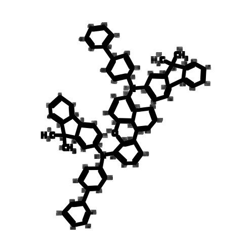 CC1(C)c2ccccc2-c2ccc(N(c3ccc(-c4ccccc4)cc3)c3cccc4c3Oc3ccc(N(c5ccc(-c6ccccc6)cc5)c5ccc6c(c5)C(C)(C)c5ccccc5-6)c5cccc-4c35)cc21